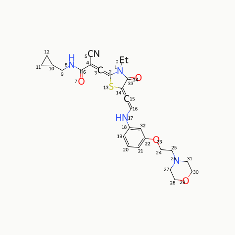 CCn1c(=C=C(C#N)C(=O)NCC2CC2)sc(=C=CNc2cccc(OCCN3CCOCC3)c2)c1=O